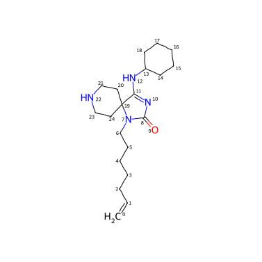 C=CCCCCCN1C(=O)N=C(NC2CCCCC2)C12CCNCC2